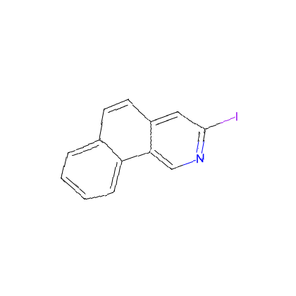 Ic1cc2ccc3ccccc3c2cn1